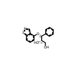 OC[C@H](O)[C@H](Oc1cccc2sncc12)c1ccccc1